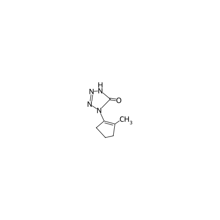 CC1=C(n2nn[nH]c2=O)CCC1